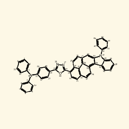 c1ccc(N(c2ccccc2)c2ccc(-c3nnc(-c4ccc5ccc6c7c(ccc4c57)cc4c6c5ccccc5n4-c4ccccc4)o3)cc2)cc1